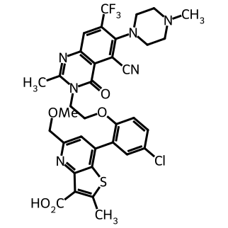 COCc1cc(-c2cc(Cl)ccc2OCCn2c(C)nc3cc(C(F)(F)F)c(N4CCN(C)CC4)c(C#N)c3c2=O)c2sc(C)c(C(=O)O)c2n1